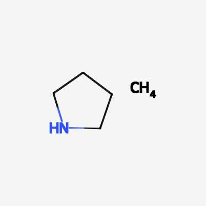 C.C1CCNC1